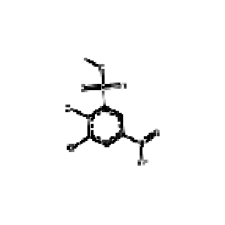 COS(=O)(=O)c1cc([N+](=O)[O-])cc(Cl)c1Cl